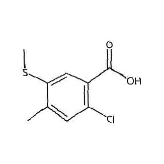 CSc1cc(C(=O)O)c(Cl)cc1C